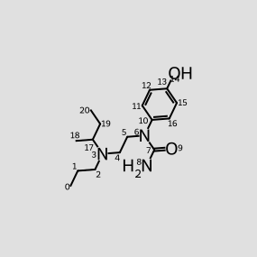 CCCN(CCN(C(N)=O)c1ccc(O)cc1)C(C)CC